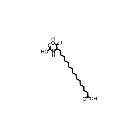 O=C(O)CCCCCCCCCCCCCCCC(NC(=O)O)C(=O)O